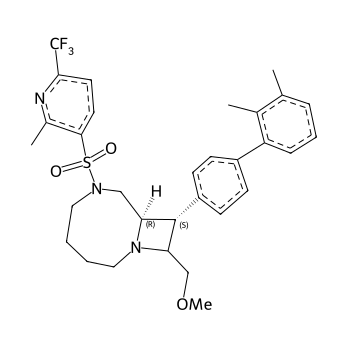 COCC1[C@@H](c2ccc(-c3cccc(C)c3C)cc2)[C@@H]2CN(S(=O)(=O)c3ccc(C(F)(F)F)nc3C)CCCCN12